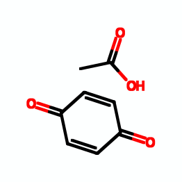 CC(=O)O.O=C1C=CC(=O)C=C1